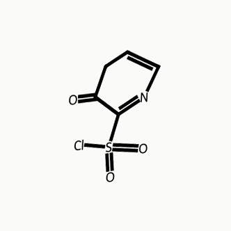 O=C1CC=CN=C1S(=O)(=O)Cl